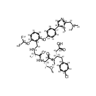 COC[C@H](NC(=O)[C@H](C)NCc1c(Oc2ccc(-c3cnc(CN(C)C)n3C)cc2)cccc1OC(F)F)C(=O)N(C)[C@H](CC(=O)O)Cc1ccc(Cl)cc1